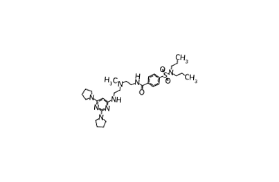 CCCN(CCC)S(=O)(=O)c1ccc(C(=O)NCCN(C)CCNc2cc(N3CCCC3)nc(N3CCCC3)n2)cc1